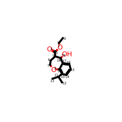 CCOC(=O)C1CCOc2c(C(C)C)cccc2C1O